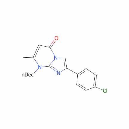 CCCCCCCCCCn1c(C)cc(=O)n2cc(-c3ccc(Cl)cc3)nc12